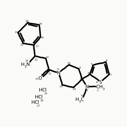 CN(C)C1(c2cccs2)CCN(C(=O)CC(N)c2ccccc2)CC1.Cl.Cl.Cl